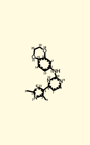 Cc1nc(C)c(-c2ccnc(Nc3ccc4c(c3)OCCO4)n2)s1